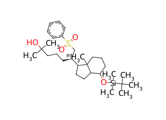 CC(C)(O)CCC[C@@H](CS(=O)(=O)c1ccccc1)C1CCC2C(O[Si](C)(C)C(C)(C)C)CCCC21C